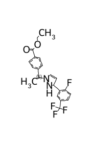 CCOC(=O)c1ccc([C@H](C)N2C=CC(c3cc(C(F)(F)F)ccc3F)N2)cc1